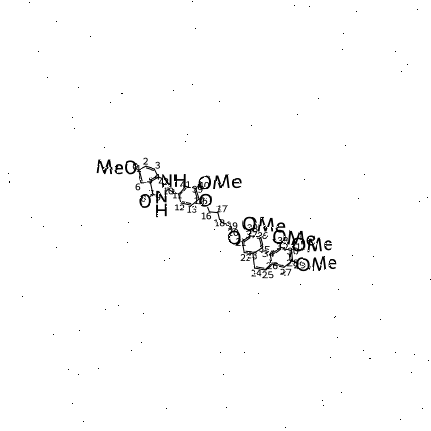 COc1ccc2c(c1)C(=O)NC(c1ccc(OCCCCOc3cc(/C=C\c4cc(OC)c(OC)c(OC)c4)ccc3OC)c(OC)c1)N2